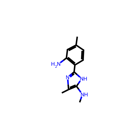 CNc1[nH]c(-c2ccc(C)cc2N)nc1C